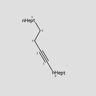 [CH2]CCCCCCC#CCCCCCCCCC